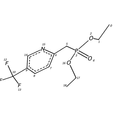 CCOP(=O)(Cc1ccc(C(F)(F)F)cn1)OCC